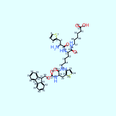 NC(Cc1cccs1)C(=O)NC(CCCCNC(=O)C(Cc1cccs1)NC(=O)OCC1c2ccccc2-c2ccccc21)C(=O)NCCCCCC(=O)O